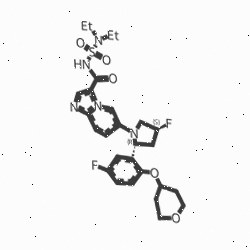 CCN(CC)S(=O)(=O)NC(=O)c1cnc2ccc(N3C[C@@H](F)C[C@@H]3c3cc(F)ccc3OC3CCOCC3)cn12